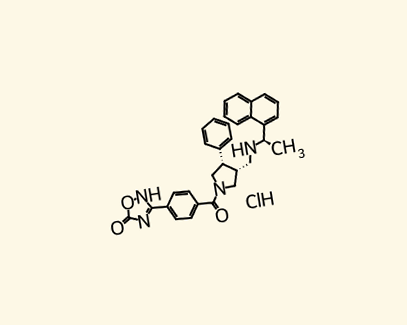 C[C@@H](NC[C@@H]1CN(C(=O)c2ccc(-c3nc(=O)o[nH]3)cc2)C[C@@H]1c1ccccc1)c1cccc2ccccc12.Cl